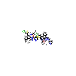 C=CC(=O)N1Cc2sc(Cl)cc2[C@@H](c2ccccc2-c2cn(Cc3cncc([SH]4C(Cl)=CC5=C4CN(C(=O)C=C)C[C@H]5c4ccccc4/C(=C/NCc4cccnc4)C(C)=N)c3)nc2C)C1